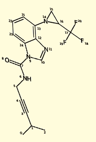 CC(C)C#CCNC(=O)n1cnc2c(N3CC3C(F)(F)F)cccc21